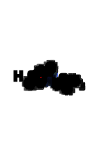 C[Si]1(C)c2cc(-c3nc(-c4ccccc4)nc(-c4ccc5c(c4-c4ccccc4)[Si](C)(C)c4ccccc4-5)n3)ccc2-c2cccc(-c3ccccc3)c21